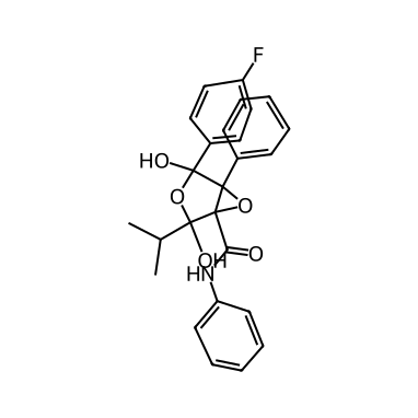 CC(C)C1(O)OC(O)(c2ccc(F)cc2)C2(c3ccccc3)OC12C(=O)Nc1ccccc1